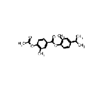 CC(=O)Oc1ccc(C(=O)Oc2ccc(C(C)C)cc2C)cc1C